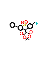 CC1(C)OC(=O)C(=C2c3ccc(CF)cc3S(=O)(=O)c3cc(-c4ccccc4)ccc32)C(=O)O1